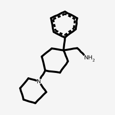 NCC1(c2ccccc2)CCC(N2CCCCC2)CC1